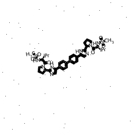 CC(C)[C@H](NS(C)(=O)=O)C(=O)N1CCCC1c1ncc(-c2ccc(-c3ccc(-c4cnc(C5CCCN5C(=O)[C@@H](NS(C)(=O)=O)C(C)C)[nH]4)cc3)cc2)[nH]1